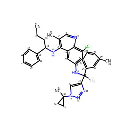 [2H]C(Nc1cc(Cl)c2ncc(C#N)c(NC(CCC#N)c3ccccc3)c2c1)(c1cccc(C#N)c1)c1cn(C2(C#N)CC2)nn1